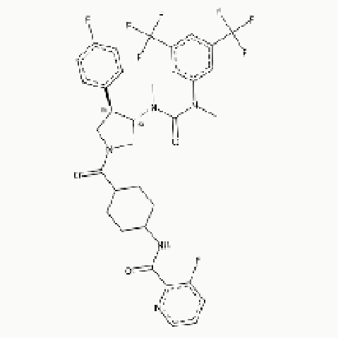 CN(C(=O)N(C)[C@@H]1CN(C(=O)C2CCC(NC(=O)c3ncccc3F)CC2)C[C@H]1c1ccc(F)cc1)c1cc(C(F)(F)F)cc(C(F)(F)F)c1